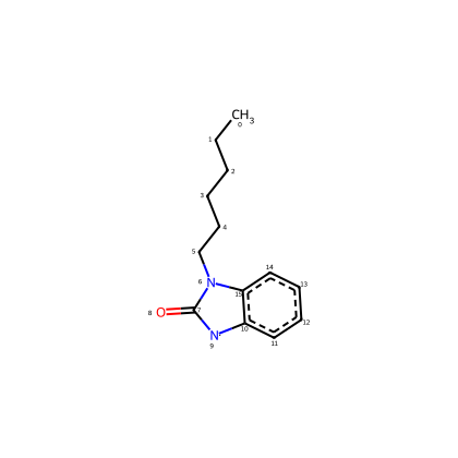 CCCCCCN1C(=O)[N]c2ccccc21